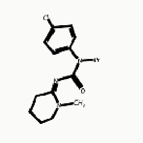 CC(C)N(C(=O)N=C1CCCCN1C)c1ccc(Cl)cc1